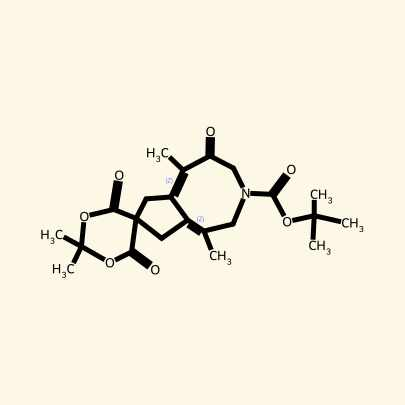 C/C1=C2\CC3(C\C2=C(/C)C(=O)CN(C(=O)OC(C)(C)C)C1)C(=O)OC(C)(C)OC3=O